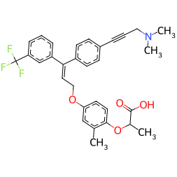 Cc1cc(OC/C=C(\c2ccc(C#CCN(C)C)cc2)c2cccc(C(F)(F)F)c2)ccc1OC(C)C(=O)O